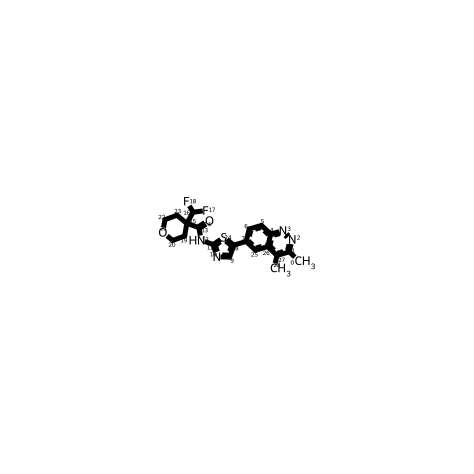 Cc1nnc2ccc(-c3cnc(NC(=O)C4(C(F)F)CCOCC4)s3)cc2c1C